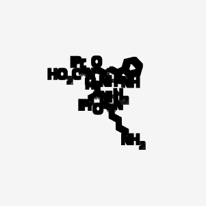 CC(C)C[C@H](NC(=O)[C@@H](N)CCCCN)C(=O)N[C@@H](Cc1c[nH]c2ccccc12)C(=O)N[C@H](C(=O)O)C(C)C